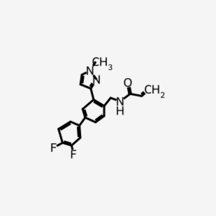 C=CC(=O)NCc1ccc(-c2ccc(F)c(F)c2)cc1-c1ccn(C)n1